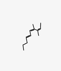 C\C=C(C)/C(C)=C\C=C\CCC